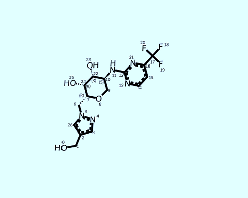 OCc1cnn(C[C@H]2OC[C@H](Nc3nccc(C(F)(F)F)n3)[C@@H](O)[C@H]2O)c1